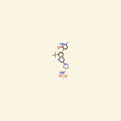 Cc1ccc(-c2cc(C(C)(C)C)c3ncc(N4CC[C@H](CNS(C)(=O)=O)C4)cc3c2)c(=O)[nH]1